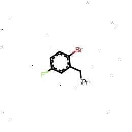 C[C](C)Cc1cc(F)ccc1Br